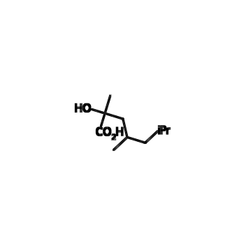 CC(C)CC(C)CC(C)(O)C(=O)O